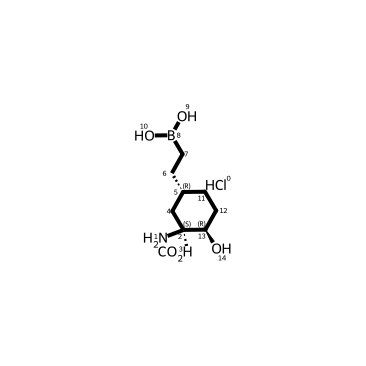 Cl.N[C@@]1(C(=O)O)C[C@H](CCB(O)O)CC[C@H]1O